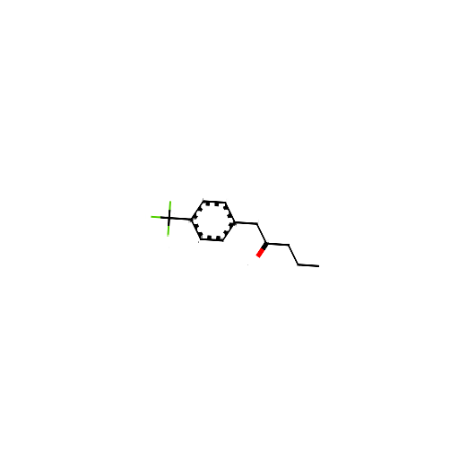 CCCC(=O)Cc1ccc(C(F)(F)F)cc1